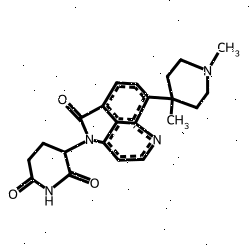 CN1CCC(C)(c2ccc3c4c(ccnc24)N(C2CCC(=O)NC2=O)C3=O)CC1